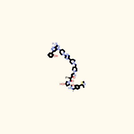 Cc1ncsc1-c1ccc([C@H](C)NC(=O)[C@@H]2C[C@@H](O)CN2C(=O)C(c2cc(N3CCC(CN4CCC(c5cnc(N6CCC(n7nc(N)c8nnc(-c9ccccc9O)cc87)CC6)cn5)CC4)CC3)no2)C(C)C)cc1